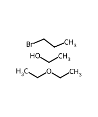 CCCBr.CCO.CCOCC